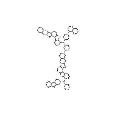 c1ccc(N(c2ccc3c(c2)sc2ccccc23)c2cccc3c2oc2ccc4c5cc6ccc(-c7cccc(N(c8ccc(-c9cccc%10ccccc9%10)cc8)c8cccc9c8oc8ccc%10c%11cc%12ccccc%12cc%11sc%10c89)c7)cc6cc5sc4c23)cc1